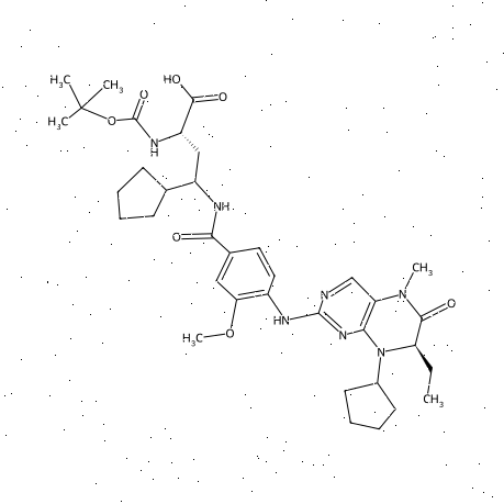 CC[C@@H]1C(=O)N(C)c2cnc(Nc3ccc(C(=O)NC(C[C@H](NC(=O)OC(C)(C)C)C(=O)O)C4CCCC4)cc3OC)nc2N1C1CCCC1